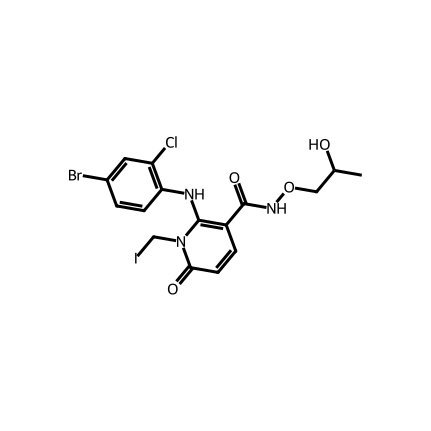 CC(O)CONC(=O)c1ccc(=O)n(CI)c1Nc1ccc(Br)cc1Cl